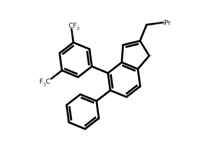 CC(C)CC1=Cc2c(ccc(-c3ccccc3)c2-c2cc(C(F)(F)F)cc(C(F)(F)F)c2)[CH]1